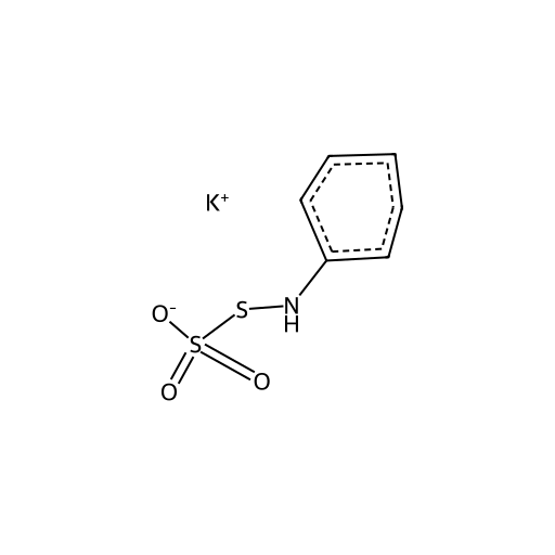 O=S(=O)([O-])SNc1ccccc1.[K+]